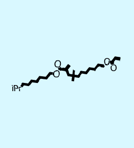 C=CC(=O)OCCCCCCCC(C)(C)CC(=C)C(=O)OCCCCCCCC(C)C